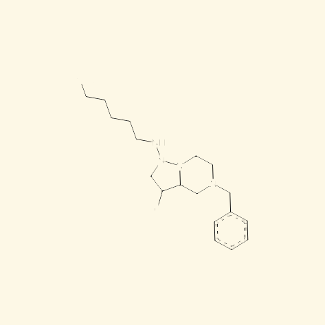 CCCCCCNN1CC(C)[C]2CN(Cc3ccccc3)CCN21